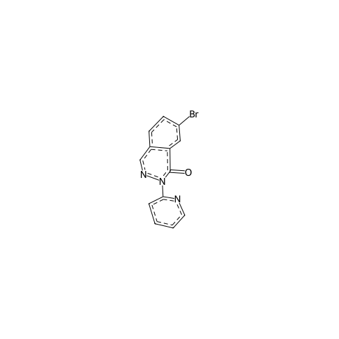 O=c1c2cc(Br)ccc2cnn1-c1ccccn1